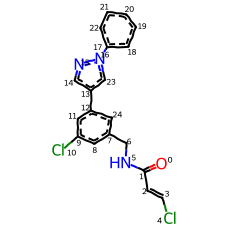 O=C(C=CCl)NCc1cc(Cl)cc(-c2cnn(-c3ccccc3)c2)c1